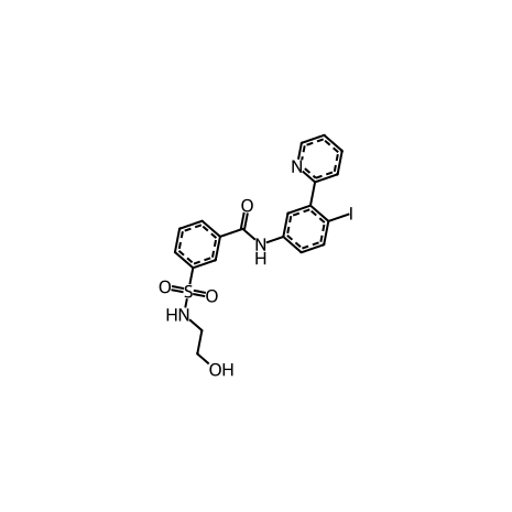 O=C(Nc1ccc(I)c(-c2ccccn2)c1)c1cccc(S(=O)(=O)NCCO)c1